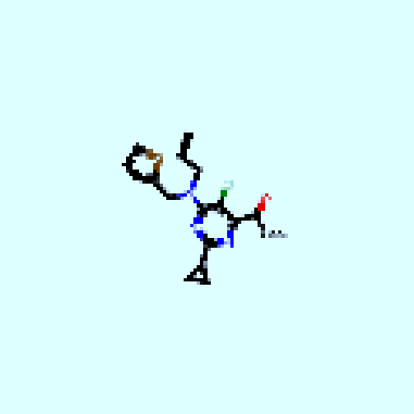 C=CCN(Cc1cccs1)c1nc(C2CC2)nc(C(=O)OC)c1Cl